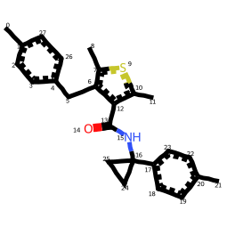 Cc1ccc(Cc2c(C)sc(C)c2C(=O)NC2(c3ccc(C)cc3)CC2)cc1